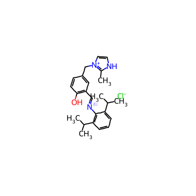 Cc1[nH]cc[n+]1Cc1ccc(O)c(/C=N/c2c(C(C)C)cccc2C(C)C)c1.[Cl-]